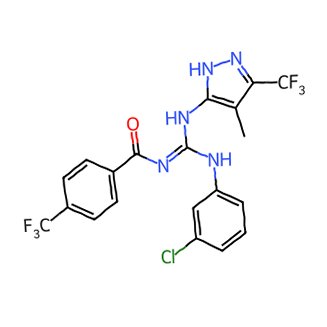 Cc1c(C(F)(F)F)n[nH]c1N/C(=N\C(=O)c1ccc(C(F)(F)F)cc1)Nc1cccc(Cl)c1